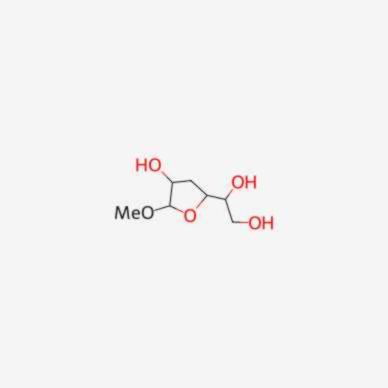 COC1OC(C(O)CO)CC1O